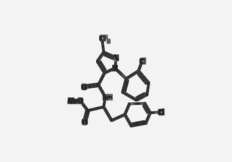 COC(=O)C(CC1C=CC(Cl)=CC1)NC(=O)c1cc(C(F)(F)F)nn1-c1ccccc1Cl